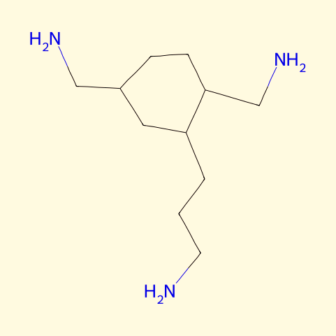 NCCCC1CC(CN)CCC1CN